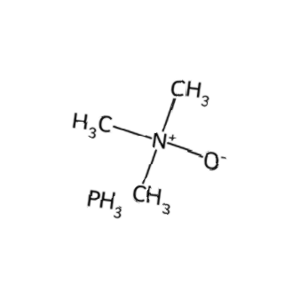 C[N+](C)(C)[O-].P